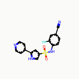 N#Cc1ccc(NS(=O)(=O)c2c[nH]c(-c3ccncc3)c2)c(F)c1